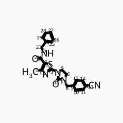 Cc1nc(N2CCN(Cc3ccc(C#N)cc3)C2=O)sc1C(=O)NCc1ccccc1